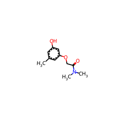 Cc1cc(O)cc(OCC(=O)N(C)C)c1